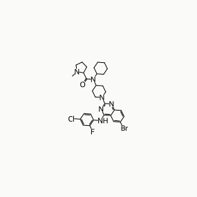 CN1CCCC1C(=O)N(C1CCCCC1)C1CCN(c2nc(Nc3ccc(Cl)cc3F)c3cc(Br)ccc3n2)CC1